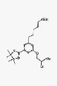 CCCCCCCCCCCCCCCc1cc(OCC(CC)CCCC)cc(B2OC(C)(C)C(C)(C)O2)c1